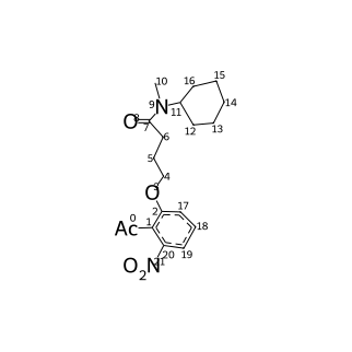 CC(=O)c1c(OCCCC(=O)N(C)C2CCCCC2)cccc1[N+](=O)[O-]